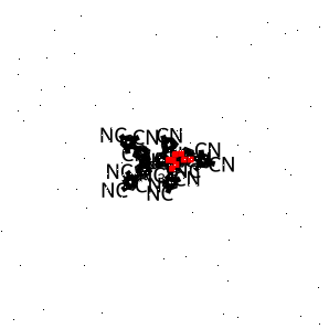 N#Cc1cc(C#N)c(-c2ccc3c(c2)c2cc(-c4c(C#N)cc(C#N)cc4C#N)ccc2n3-c2ccc(-c3ccc(C#N)cc3C(F)(F)F)c(-c3cc(C#N)ccc3-n3c4ccc(-c5c(C#N)cc(C#N)cc5C#N)cc4c4cc(-c5c(C#N)cc(C#N)cc5C#N)ccc43)c2)c(C#N)c1